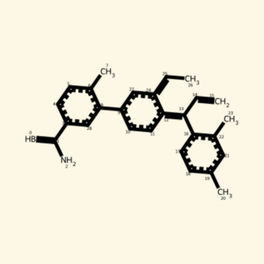 B=C(N)c1ccc(C)c(-c2ccc(=C(/C=C)c3ccc(C)cc3C)/c(=C\C)c2)c1